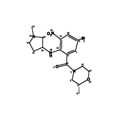 C[C@@H]1CN(C(=O)c2cc(Br)cc([N+](=O)[O-])c2NC2CCN(C)C2)CCO1